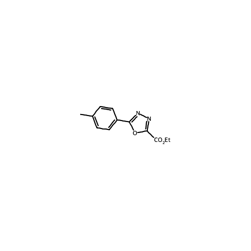 CCOC(=O)c1nnc(-c2ccc(C)cc2)o1